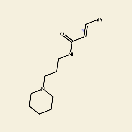 CC(C)/C=C/C(=O)NCCCN1CCCCC1